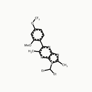 CCC(CC)n1c(C)nc2nc(-c3ccc(OC(F)(F)F)cc3OC)c(C)nc21